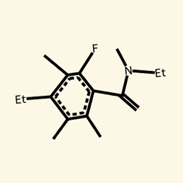 C=C(c1c(C)c(C)c(CC)c(C)c1F)N(C)CC